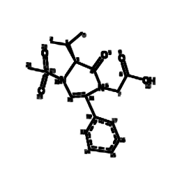 CC(C)[C@H]1C(=O)N(CC(=O)O)C(c2ccccc2)=CN1S(C)(=O)=O